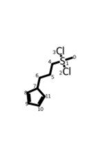 CS(Cl)(Cl)CCCC1C=CC=C1